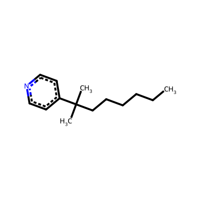 CCCCCCC(C)(C)c1ccncc1